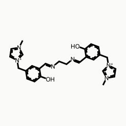 Cn1cc[n+](Cc2ccc(O)c(/C=N/CC/N=C/c3cc(C[n+]4ccn(C)c4)ccc3O)c2)c1